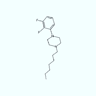 CCCCCCCN1CCN(c2cccc(F)c2F)CC1